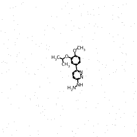 COc1ccc(-c2ccc(NN)nn2)cc1OC(C)C